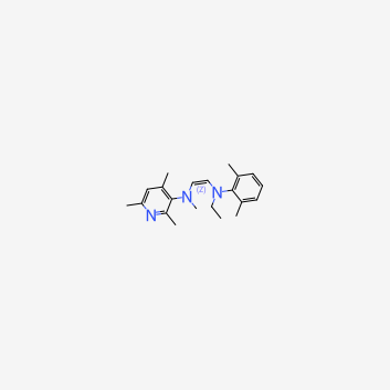 CCN(/C=C\N(C)c1c(C)cc(C)nc1C)c1c(C)cccc1C